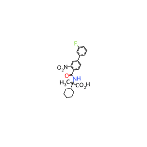 C[C@@](NC(=O)c1ccc(-c2cccc(F)c2)cc1[N+](=O)[O-])(C(=O)O)C1CCCCC1